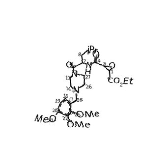 CCOC(=O)C1OC1C(=O)NC(CC(C)C)C(=O)N1CCN(Cc2ccc(OC)c(OC)c2OC)CC1